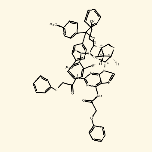 COc1ccc(C(OC[C@@]23CO[C@@H]([C@H](n4cnc5c(NC(=O)COc6ccccc6)nc(NC(=O)COc6ccccc6)nc54)O2)[C@@H]3OP(OCCC#N)N(c2ccccc2C(C)C)C(C)C)(c2ccccc2)c2ccc(OC)cc2)cc1